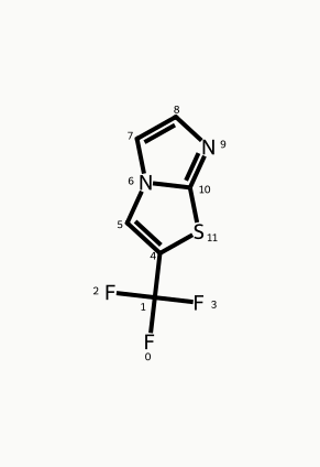 FC(F)(F)c1cn2ccnc2s1